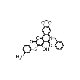 Cc1cccc(Sc2c(O)c3c(=O)n(Cc4ccccc4)c4cc5c(cc4c3oc2=O)OCO5)c1